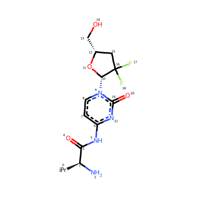 CC(C)[C@H](N)C(=O)Nc1ccn([C@@H]2O[C@H](CO)CC2(F)F)c(=O)n1